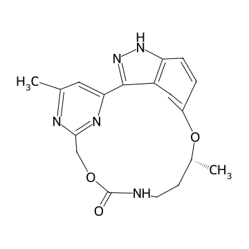 Cc1cc2nc(n1)COC(=O)NCC[C@@H](C)Oc1ccc3[nH]nc-2c3c1